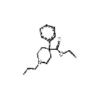 CCCN1CCC(C(=O)OCC)(c2ccccc2)CC1